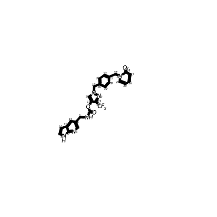 O=C(NCc1cnc2[nH]ccc2c1)Oc1cn(Cc2ccc(Cn3ccccc3=O)cc2)nc1C(F)(F)F